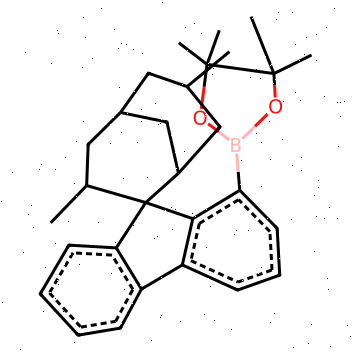 CC1CC2CC(C)C3(c4ccccc4-c4cccc(B5OC(C)(C)C(C)(C)O5)c43)C(C1)C2